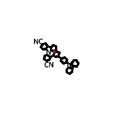 N#Cc1ccc(-n2c3ccccc3c3cc(C#N)ccc32)c(C2C=C(c3ccc(-n4c5c(c6ccccc64)C=CCC5)cc3)C=CC2)c1